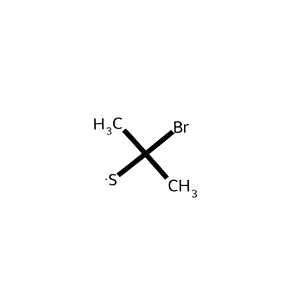 CC(C)([S])Br